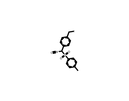 [C-]#[N+]C(c1ccc(CI)cc1)S(=O)(=O)c1ccc(C)cc1